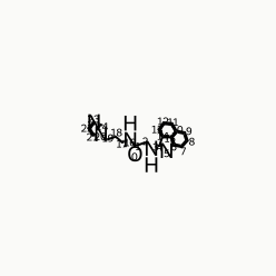 O=C(CNC1=Nc2cccc3cccc1c23)NCCCn1ccnc1